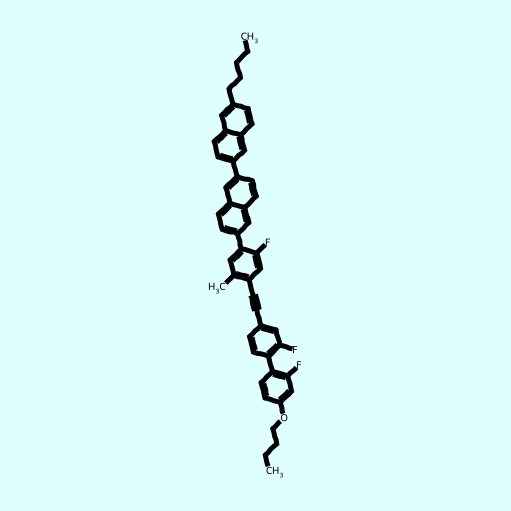 CCCCCc1ccc2cc(-c3ccc4cc(-c5cc(C)c(C#Cc6ccc(-c7ccc(OCCCC)cc7F)c(F)c6)cc5F)ccc4c3)ccc2c1